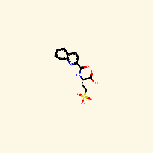 O=C(N[C@@H](CCS(=O)(=O)O)C(=O)O)c1ccc2ccccc2n1